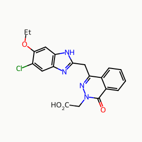 CCOc1cc2[nH]c(Cc3nn(CC(=O)O)c(=O)c4ccccc34)nc2cc1Cl